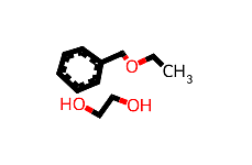 CCOCc1ccccc1.OCCO